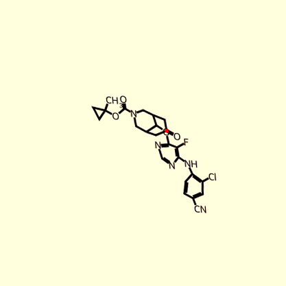 CC1(OC(=O)N2CC3CC(=O)CC(C2)C3Oc2ncnc(Nc3ccc(C#N)cc3Cl)c2F)CC1